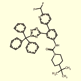 CC(C)(C)C1CCN(C(=O)Nc2ccc(-c3ccc(C(F)F)nc3)c(-c3nnn(C(c4ccccc4)(c4ccccc4)c4ccccc4)n3)c2)CC1